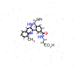 Cc1cccc2cc(NC(CC(C)C)c3ccc(C(=O)NCCC(=O)O)cc3)cnc12